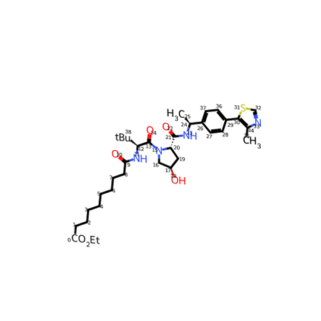 CCOC(=O)CCCCCCCCC(=O)N[C@H](C(=O)N1C[C@H](O)C[C@H]1C(=O)N[C@@H](C)c1ccc(-c2scnc2C)cc1)C(C)(C)C